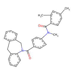 Cc1ccc(C(=O)N(C)c2ccc(C(=O)N3Cc4ccccc4Cc4ccccc43)cc2)c(C)c1